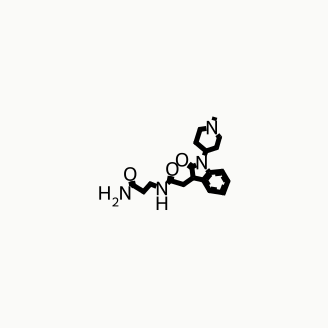 CN1CCC(N2C(=O)C(CC(=O)NCCC(N)=O)c3ccccc32)CC1